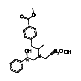 C#CCN(C[C@@H](O)c1ccccc1)C(C)Cc1ccc(C(=O)OC)cc1.Cl.O